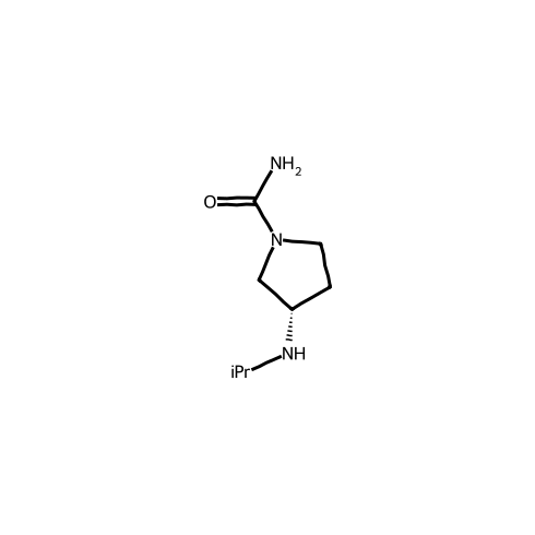 CC(C)N[C@H]1CCN(C(N)=O)C1